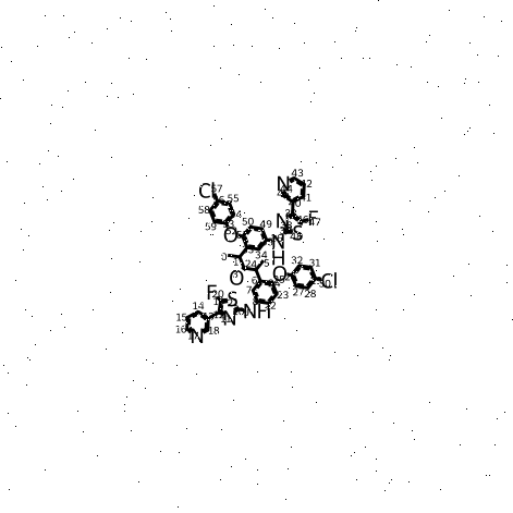 CC(C(=O)C(C)c1cc(Nc2nc(-c3cccnc3)c(F)s2)ccc1Oc1ccc(Cl)cc1)c1cc(Nc2nc(-c3cccnc3)c(F)s2)ccc1Oc1ccc(Cl)cc1